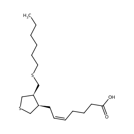 CCCCCCSC[C@@H]1CSC[C@@H]1C/C=C\CCCC(=O)O